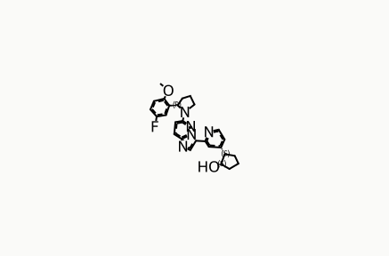 COc1ccc(F)cc1[C@H]1CCCN1c1ccc2ncc(-c3cc([C@@H]4CCC[C@@H]4O)ccn3)n2n1